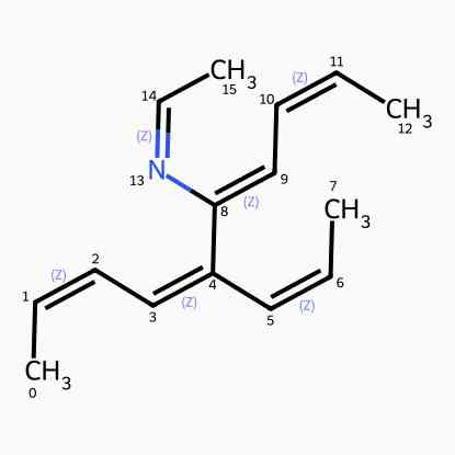 C\C=C/C=C(/C=C\C)C(=C\C=C/C)\N=C/C